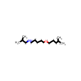 CC(C)CCCOCCCCCNCC(C)C